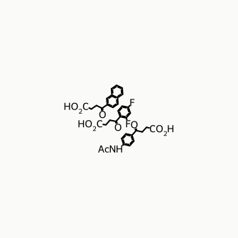 CC(=O)Nc1ccc(C(=O)CCC(=O)O)cc1.O=C(O)CCC(=O)c1ccc(F)cc1F.O=C(O)CCC(=O)c1ccc2ccccc2c1